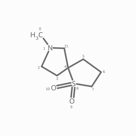 CN1CCC2(CCCS2(=O)=O)C1